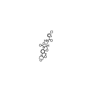 O=C(NC[C@@H]1OC(=O)N2c3ccc(N4CCOCC4=O)c(F)c3OC[C@@H]12)c1ccc(Cl)s1